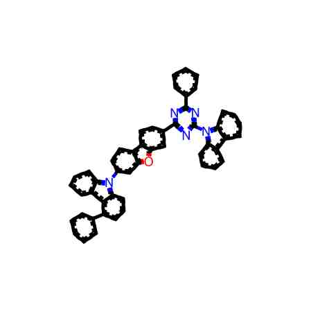 c1ccc(-c2nc(-c3ccc4c(c3)oc3cc(-n5c6ccccc6c6c(-c7ccccc7)cccc65)ccc34)nc(-n3c4ccccc4c4ccccc43)n2)cc1